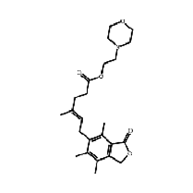 C/C(=C\Cc1c(C)c(C)c2c(c1C)C(=O)OC2)CCC(=O)OCCN1CCOCC1